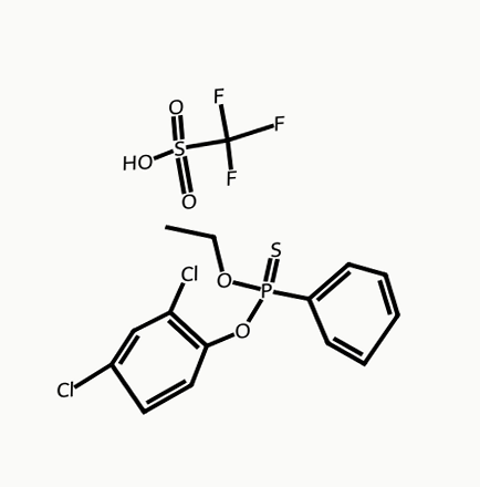 CCOP(=S)(Oc1ccc(Cl)cc1Cl)c1ccccc1.O=S(=O)(O)C(F)(F)F